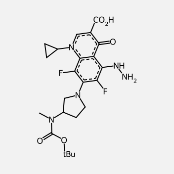 CN(C(=O)OC(C)(C)C)C1CCN(c2c(F)c(NN)c3c(=O)c(C(=O)O)cn(C4CC4)c3c2F)C1